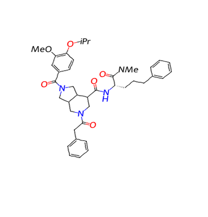 CNC(=O)[C@H](CCCc1ccccc1)NC(=O)C1CN(C(=O)Cc2ccccc2)CC2CN(C(=O)c3ccc(OC(C)C)c(OC)c3)CC21